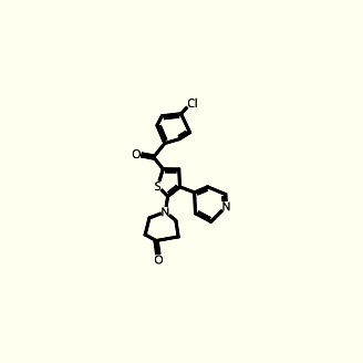 O=C1CCN(c2sc(C(=O)c3ccc(Cl)cc3)cc2-c2ccncc2)CC1